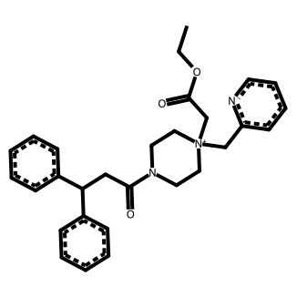 CCOC(=O)C[N+]1(Cc2ccccn2)CCN(C(=O)CC(c2ccccc2)c2ccccc2)CC1